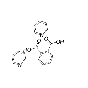 O=C(O)c1ccccc1C(=O)O.c1ccncc1.c1ccncc1